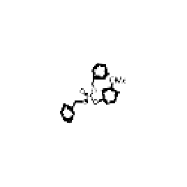 COc1c[c]cc(OP(=O)(OCc2ccccc2)OCc2ccccc2)c1